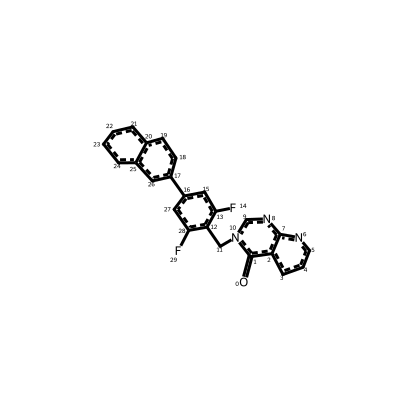 O=c1c2cccnc2ncn1Cc1c(F)cc(-c2ccc3ccccc3c2)cc1F